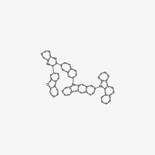 c1ccc2c(c1)ccc1c3ccccc3n(-c3ccc4cc5c6ccccc6n(-c6ccc7ccc(-c8nc9ccccc9nc8-c8ccc9c(c8)oc8ccccc89)cc7c6)c5cc4c3)c21